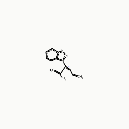 C=C/C=C(\C(=C)C)n1nnc2ccccc21